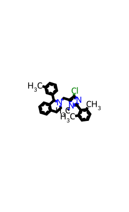 Cc1cccc(C2c3ccccc3CCN2Cc2c(Cl)nc(-c3c(C)cccc3C)n2C)c1